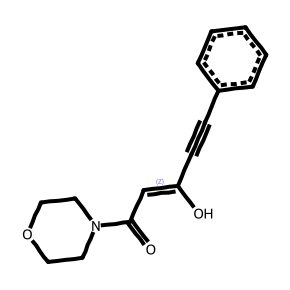 O=C(/C=C(\O)C#Cc1ccccc1)N1CCOCC1